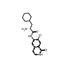 N[C@H](CC1CCCCC1)C(=O)Nc1cc2cc[nH]c(=O)c2cc1Cl